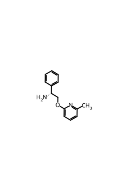 Cc1cccc(OC[C@H](N)c2ccccc2)n1